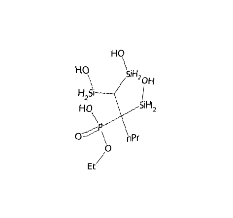 CCCC([SiH2]O)(C([SiH2]O)[SiH2]O)P(=O)(O)OCC